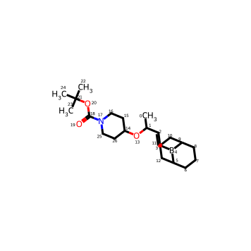 CC(C=CB1C2CCCC1CCC2)OC1CCN(C(=O)OC(C)(C)C)CC1